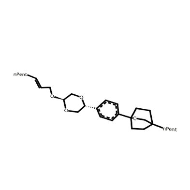 CCCCC/C=C/CO[C@H]1CO[C@H](c2ccc(C34CCC(CCCCC)(CC3)CC4)cc2)CO1